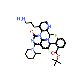 CC(C)c1nccc(CCCN)c1-n1c(=O)nc(N2CCCC[C@@H]2C)c2cc(F)c(-c3c(F)cccc3C(=O)OC(C)(C)C)nc21